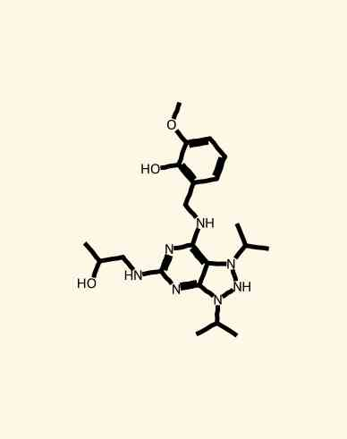 COc1cccc(CNc2nc(NCC(C)O)nc3c2N(C(C)C)NN3C(C)C)c1O